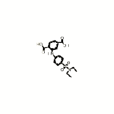 CCN(CC)S(=O)(=O)c1ccc(Nc2cc(C(=O)O)ccc2C(=O)O)cc1